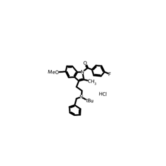 COc1ccc2c(c1)c(CCN(Cc1ccccc1)C(C)(C)C)c(C)n2C(=O)c1ccc(F)cc1.Cl